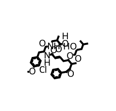 COc1ccc(CC(NC(=O)C=CCC(OC(=O)C(O)CC(C)C)C(C)C2OC2c2ccccc2)C(=O)NCC(C)C(=O)O)cc1Cl